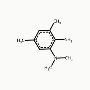 Cc1cc(C)c(N)c(N(C)C)c1